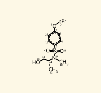 CCCOc1ccc(S(=O)(=O)N(C)[C@H](C)CO)cc1